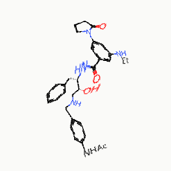 CCNc1cc(C(=O)N[C@@H](Cc2ccccc2)[C@H](O)CNCc2ccc(NC(C)=O)cc2)cc(N2CCCC2=O)c1